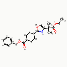 CCOC(=O)C(C)(C)c1coc(C2CCC(C(=O)OCc3ccccc3)CC2)n1